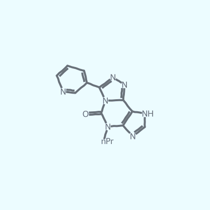 CCCn1c(=O)n2c(-c3cccnc3)nnc2c2[nH]cnc21